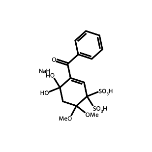 COC1(OC)CC(O)(O)C(C(=O)c2ccccc2)=CC1(S(=O)(=O)O)S(=O)(=O)O.[NaH]